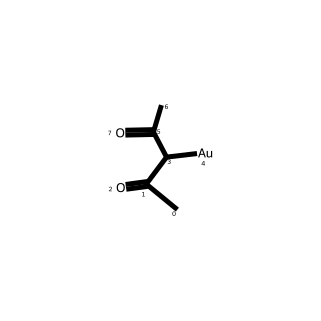 CC(=O)[CH]([Au])C(C)=O